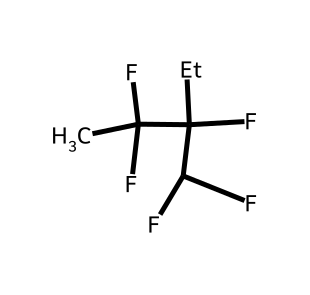 CCC(F)(C(F)F)C(C)(F)F